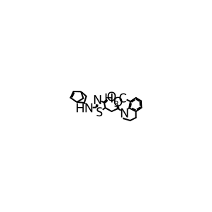 Cc1cccc2c1N(C(=O)CC1SC(NC3CC4C=CC3C4)=NC1=O)CCC2